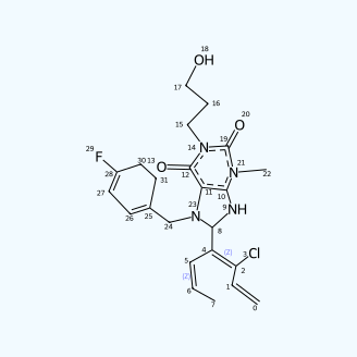 C=C/C(Cl)=C(\C=C/C)C1Nc2c(c(=O)n(CCCO)c(=O)n2C)N1CC1=CC=C(F)CC1